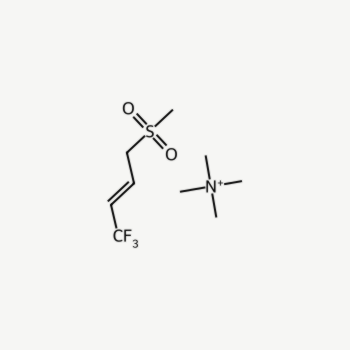 CS(=O)(=O)CC=CC(F)(F)F.C[N+](C)(C)C